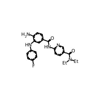 CCN(CC)C(=O)c1ccc(NC(=O)c2ccc(N)c(Nc3ccc(F)cc3)c2)nc1